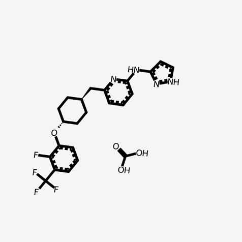 Fc1c(O[C@H]2CC[C@H](Cc3cccc(Nc4cc[nH]n4)n3)CC2)cccc1C(F)(F)F.O=C(O)O